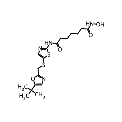 CC(C)(C)c1cnc(CSc2cnc(NC(=O)CCCCCC(=O)NO)s2)o1